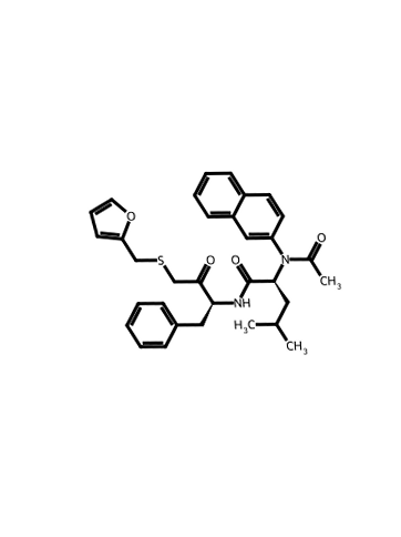 CC(=O)N(c1ccc2ccccc2c1)[C@@H](CC(C)C)C(=O)N[C@@H](Cc1ccccc1)C(=O)CSCc1ccco1